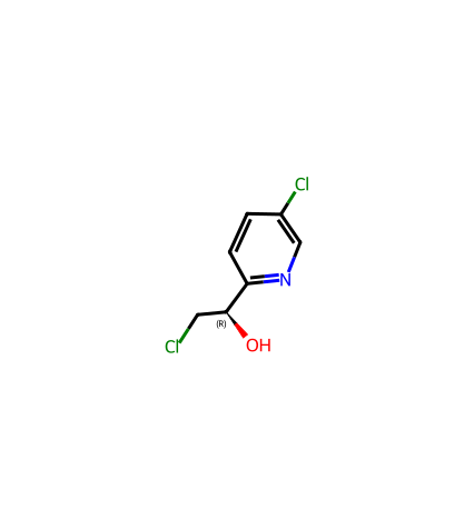 O[C@@H](CCl)c1ccc(Cl)cn1